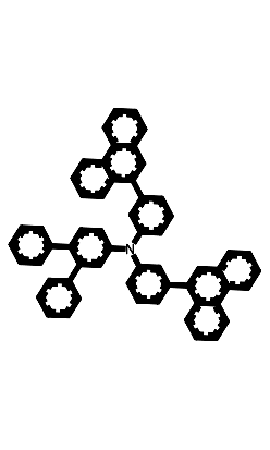 c1ccc(-c2ccc(N(c3cccc(-c4cc5ccccc5c5ccccc45)c3)c3cccc(-c4cc5ccccc5c5ccccc45)c3)cc2-c2ccccc2)cc1